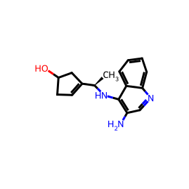 C[C@@H](Nc1c(N)cnc2ccccc12)C1=CCC(O)C1